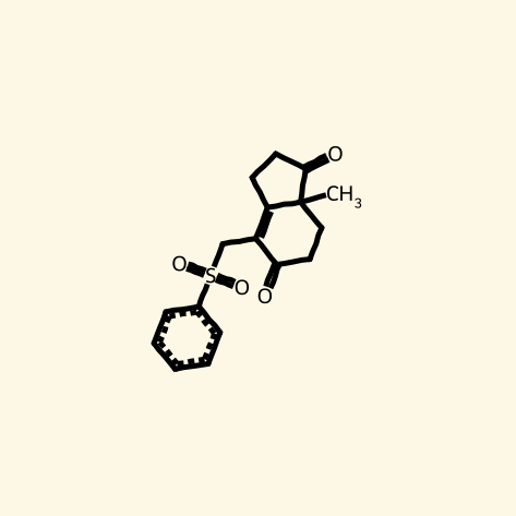 CC12CCC(=O)C(CS(=O)(=O)c3ccccc3)=C1CCC2=O